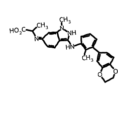 Cc1c(Nc2[nH]n(C)c3cc(=NC(C)C(=O)O)ccc2-3)cccc1-c1ccc2c(c1)OCCO2